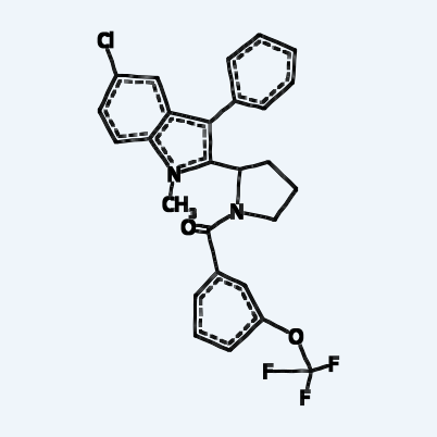 Cn1c(C2CCCN2C(=O)c2cccc(OC(F)(F)F)c2)c(-c2ccccc2)c2cc(Cl)ccc21